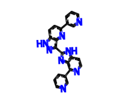 c1cncc(-c2ccc3[nH]nc(-c4nc5c(-c6cccnc6)nccc5[nH]4)c3n2)c1